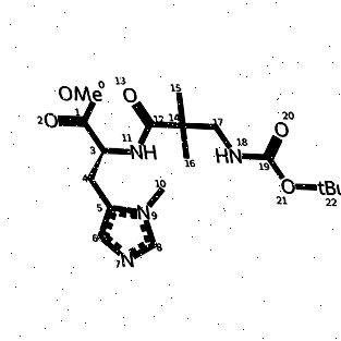 COC(=O)[C@H](Cc1cncn1C)NC(=O)C(C)(C)CNC(=O)OC(C)(C)C